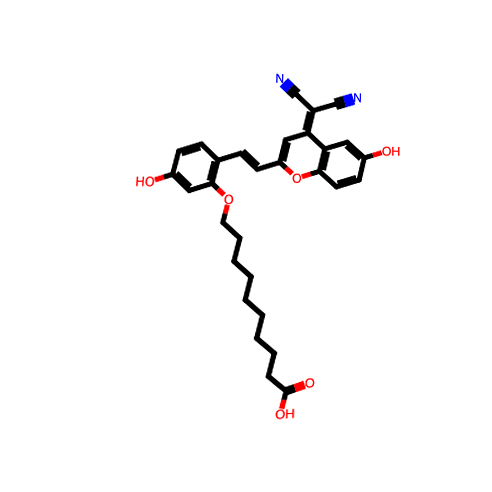 N#CC(C#N)=C1C=C(/C=C/c2ccc(O)cc2OCCCCCCCCCC(=O)O)Oc2ccc(O)cc21